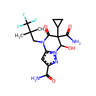 CC(C)(CN1C(=O)C(C(N)=O)(C2CC2)C(O)n2nc(C(N)=O)cc21)C(F)(F)F